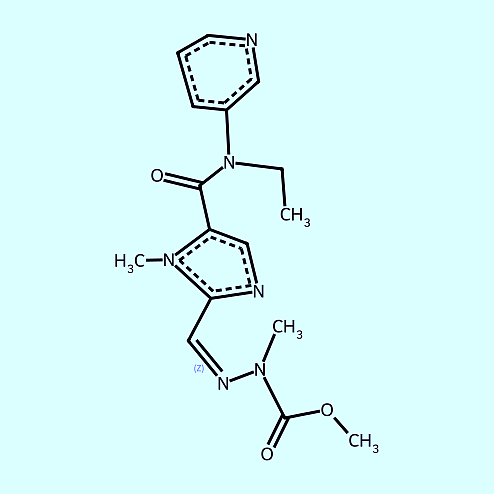 CCN(C(=O)c1cnc(/C=N\N(C)C(=O)OC)n1C)c1cccnc1